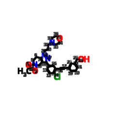 CS(=O)(=O)N1CCc2c(c(-c3ccc(Cl)c(C#Cc4cccc(CO)c4)c3)nn2CCCN2CCOCC2)C1